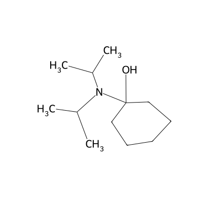 CC(C)N(C(C)C)C1(O)CCCCC1